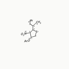 CC(=O)OC1CSC(C(C)CC(C)C)C1[N+](=O)[O-]